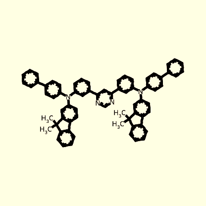 CC1(C)c2ccccc2-c2ccc(N(c3ccc(-c4ccccc4)cc3)c3cccc(-c4cc(-c5cccc(N(c6ccc(-c7ccccc7)cc6)c6ccc7c(c6)C(C)(C)c6ccccc6-7)c5)ncn4)c3)cc21